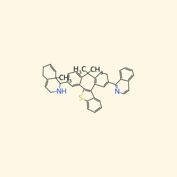 CC1(C)C2=C(C=C(c3nccc4ccccc34)CC2)c2c(sc3ccccc23)-c2cc(C3NCC=C4CCC=CC43C)ccc21